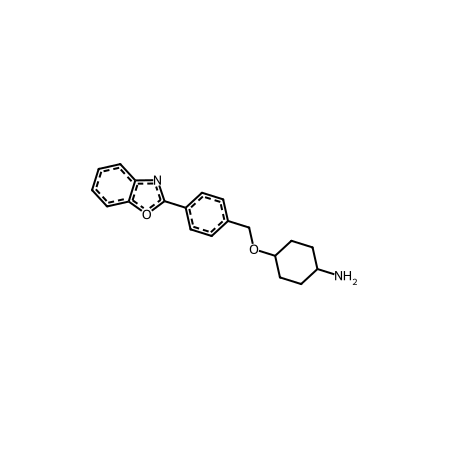 NC1CCC(OCc2ccc(-c3nc4ccccc4o3)cc2)CC1